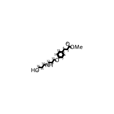 COC(=O)CCc1ccc(OCCCNCCCO)cc1